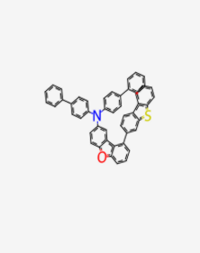 c1ccc(-c2ccc(N(c3ccc(-c4ccccc4)cc3)c3ccc4oc5cccc(-c6ccc7c(c6)sc6ccccc67)c5c4c3)cc2)cc1